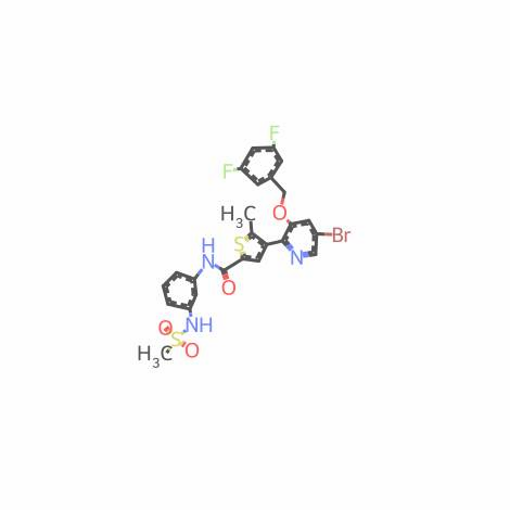 Cc1sc(C(=O)Nc2cccc(NS(C)(=O)=O)c2)cc1-c1ncc(Br)cc1OCc1cc(F)cc(F)c1